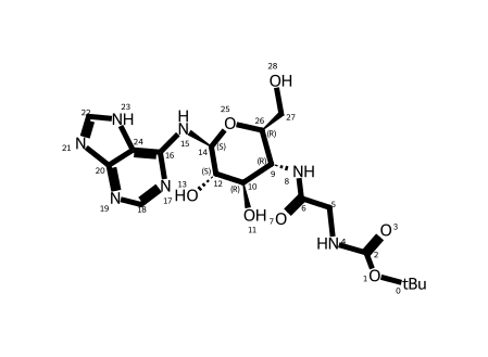 CC(C)(C)OC(=O)NCC(=O)N[C@@H]1[C@@H](O)[C@H](O)[C@@H](Nc2ncnc3nc[nH]c23)O[C@H]1CO